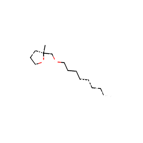 [CH2]C1(COCCCCCCCCCCCCCCCC)CCCO1